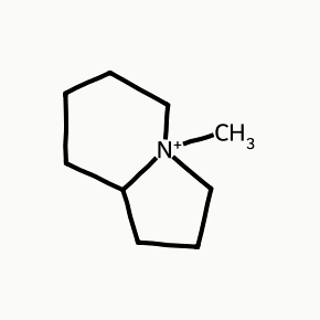 C[N+]12CCCCC1CCC2